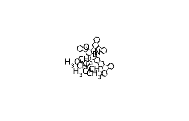 CC(C)(C)c1cc(C2c3cc4cc5c6ccccc6c6ccccc6c5cc4cc3B3c4c2cc2c(oc5ccccc52)c4-c2cc4ccccc4c4c5ccccc5n3c24)cc(C(C)(C)C)c1